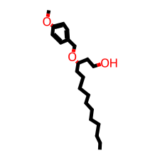 CCCCCCCCCCCC(CCO)OCc1ccc(OC)cc1